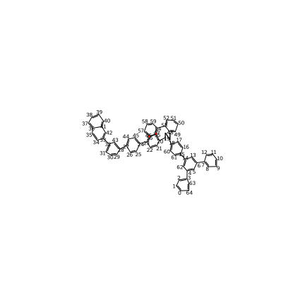 c1ccc(-c2cc(-c3ccccc3)cc(-c3ccc(N(c4ccc(-c5ccc(-c6cccc(-c7ccc8ccccc8c7)c6)cc5)cc4)c4ccccc4-c4ccccc4)cc3)c2)cc1